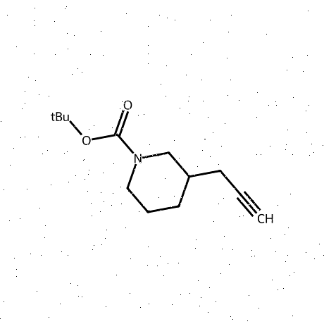 C#CCC1CCCN(C(=O)OC(C)(C)C)C1